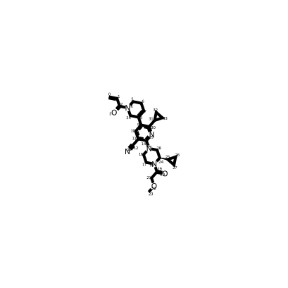 C=CC(=O)N1CCC=C(c2cc(C#N)c(N3CCN(C(=O)COC)[C@H](C4CC4)C3)nc2C2CC2)C1